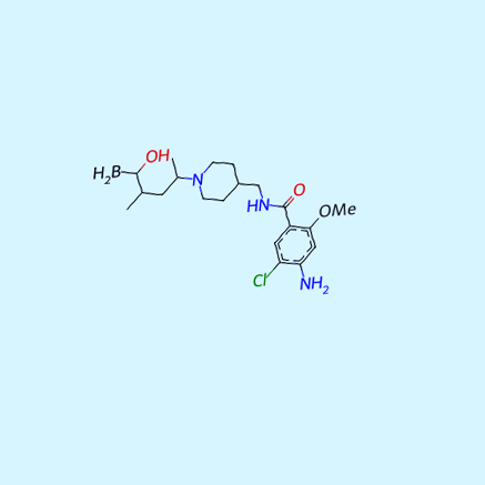 BC(O)C(C)CC(C)N1CCC(CNC(=O)c2cc(Cl)c(N)cc2OC)CC1